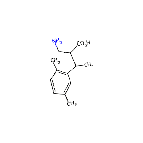 Cc1ccc(C)c(C(C)C(CN)C(=O)O)c1